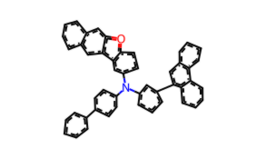 c1ccc(-c2ccc(N(c3cccc(-c4cc5ccccc5c5ccccc45)c3)c3ccc4oc5cc6ccccc6cc5c4c3)cc2)cc1